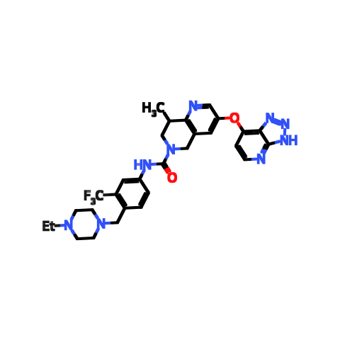 CCN1CCN(Cc2ccc(NC(=O)N3Cc4cc(Oc5ccnc6[nH]nnc56)cnc4C(C)C3)cc2C(F)(F)F)CC1